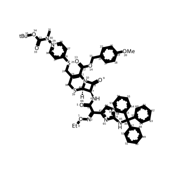 CCO/N=C(\C(=O)N[C@@H]1C(=O)N2C(C(=O)OCc3ccc(OC)cc3)=C(CSc3cc[n+](N(C)C(=O)OC(C)(C)C)cc3)CS[C@H]12)c1csc(NC(c2ccccc2)(c2ccccc2)c2ccccc2)n1